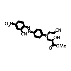 COC(=O)C(O)CN(CCC#N)c1ccc(N=Nc2ccc([N+](=O)[O-])cc2C#N)cc1